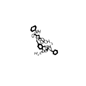 COc1ccc(CN2C(=O)CC2C(=O)Nc2ccccc2)c(OC)c1NC(=O)OCc1ccccc1